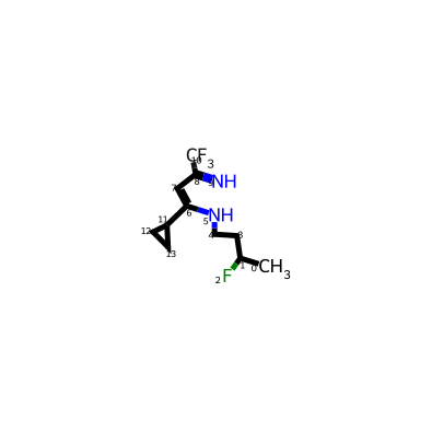 CC(F)CCN/C(=C\C(=N)C(F)(F)F)C1CC1